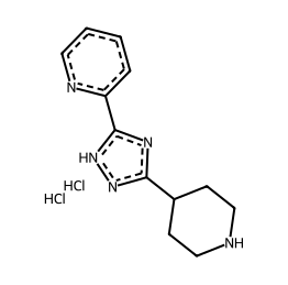 Cl.Cl.c1ccc(-c2nc(C3CCNCC3)n[nH]2)nc1